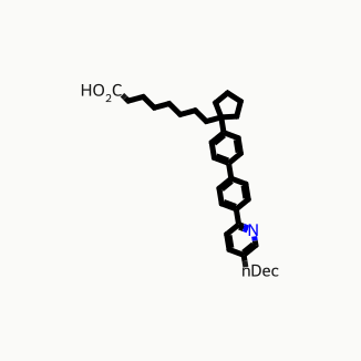 CCCCCCCCCCc1ccc(-c2ccc(-c3ccc(C4(CCCCCCCC(=O)O)CCCC4)cc3)cc2)nc1